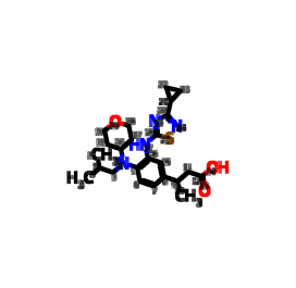 CC(C)CN(c1ccc([C@H](C)CC(=O)O)cc1Nc1nc(C2CC2)ns1)C1CCOCC1